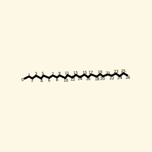 CCCCCCCCCCCC[CH]CCCCCCCCCCCCCC